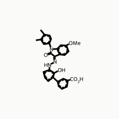 COc1ccc2c(c1)N(c1ccc(C)c(C)c1)C(=O)C2=NNc1cccc(-c2cccc(C(=O)O)c2)c1O